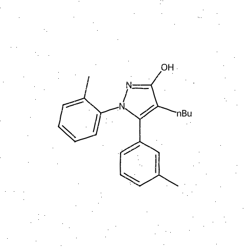 CCCCc1c(O)nn(-c2ccccc2C)c1-c1cccc(C)c1